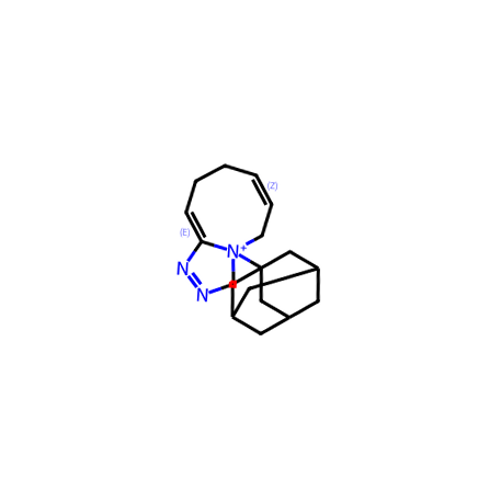 C1=C\C[N+]2(C34CC5CC(CC(C5)C3)C4)CN=N/C2=C/CC/1